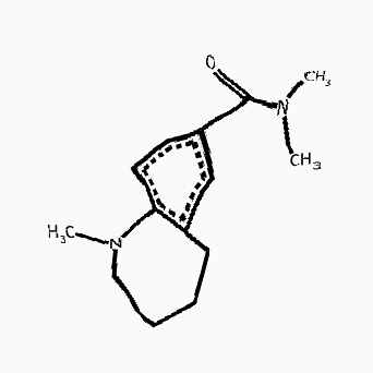 CN(C)C(=O)c1ccc2c(c1)CCCCN2C